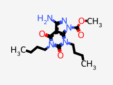 CCCCn1c(=O)c2c(N)nn(C(=O)OC)c2n(CCCC)c1=O